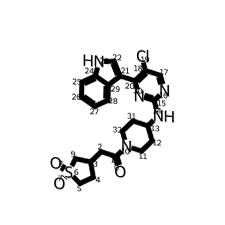 O=C(CC1CCS(=O)(=O)C1)N1CCC(Nc2ncc(Cl)c(-c3c[nH]c4ccccc34)n2)CC1